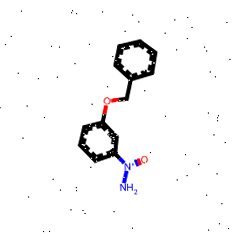 N[N+](=O)c1[c]ccc(OCc2ccccc2)c1